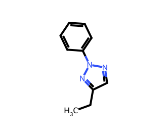 CCc1cnn(-c2ccccc2)n1